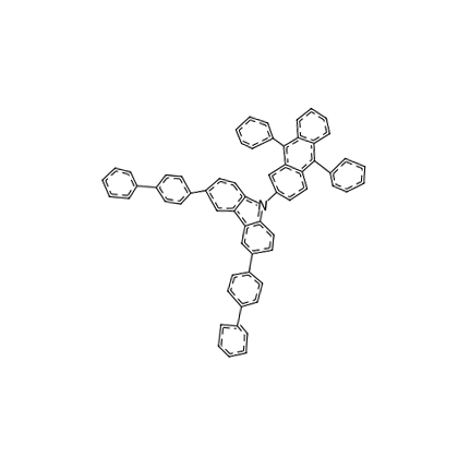 c1ccc(-c2ccc(-c3ccc4c(c3)c3cc(-c5ccc(-c6ccccc6)cc5)ccc3n4-c3ccc4c(-c5ccccc5)c5ccccc5c(-c5ccccc5)c4c3)cc2)cc1